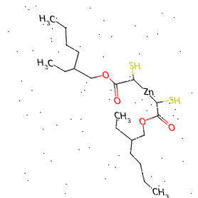 CCCCC(CC)COC(=O)[CH](S)[Zn][CH](S)C(=O)OCC(CC)CCCC